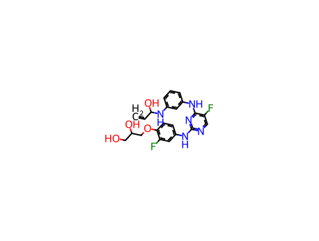 C=CC(O)Nc1cccc(Nc2nc(Nc3ccc(OCC(O)CO)c(F)c3)ncc2F)c1